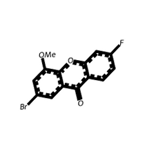 COc1cc(Br)cc2c(=O)c3ccc(F)cc3oc12